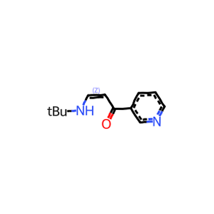 CC(C)(C)N/C=C\C(=O)c1cccnc1